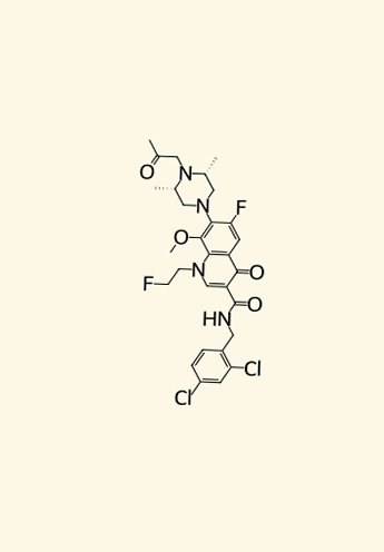 COc1c(N2C[C@@H](C)N(CC(C)=O)[C@@H](C)C2)c(F)cc2c(=O)c(C(=O)NCc3ccc(Cl)cc3Cl)cn(CCF)c12